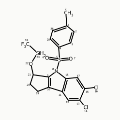 Cc1ccc(S(=O)(=O)n2c3c(c4cc(Cl)c(Cl)cc42)CCC3O[SiH2]C(F)(F)F)cc1